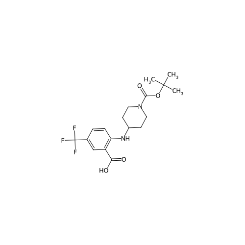 CC(C)(C)OC(=O)N1CCC(Nc2ccc(C(F)(F)F)cc2C(=O)O)CC1